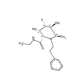 CCNC(=O)[C@@H]1[C@H](O)[C@H](F)[C@@H](O)[C@@H](C)N1CCc1ccccc1